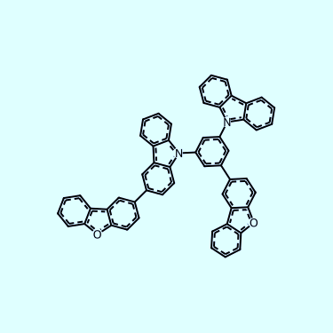 c1ccc2c(c1)oc1ccc(-c3cc(-n4c5ccccc5c5ccccc54)cc(-n4c5ccccc5c5cc(-c6ccc7oc8ccccc8c7c6)ccc54)c3)cc12